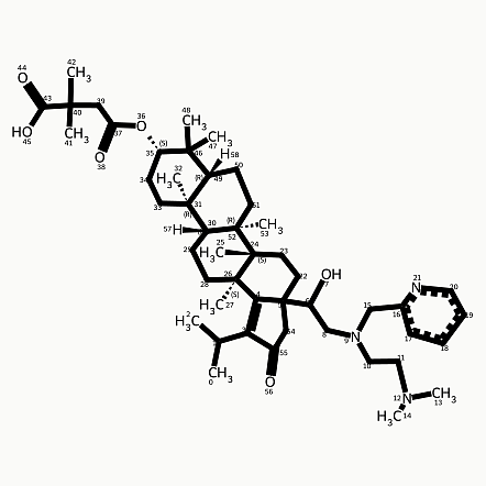 CC(C)C1=C2C(C(O)CN(CCN(C)C)Cc3ccccn3)(CC[C@]3(C)[C@]2(C)CC[C@@H]2[C@@]4(C)CC[C@H](OC(=O)CC(C)(C)C(=O)O)C(C)(C)[C@@H]4CC[C@]23C)CC1=O